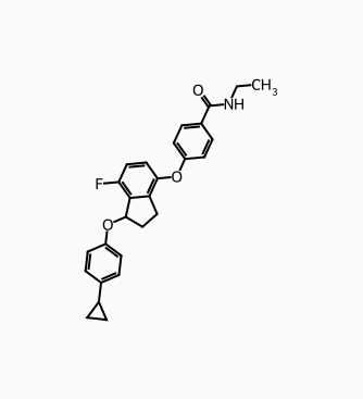 CCNC(=O)c1ccc(Oc2ccc(F)c3c2CCC3Oc2ccc(C3CC3)cc2)cc1